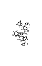 CC(O)c1cnc2c(NC(=O)c3cc(-c4ccccn4)c(C(F)(F)F)cc3F)c(-c3ccccc3)ccn12